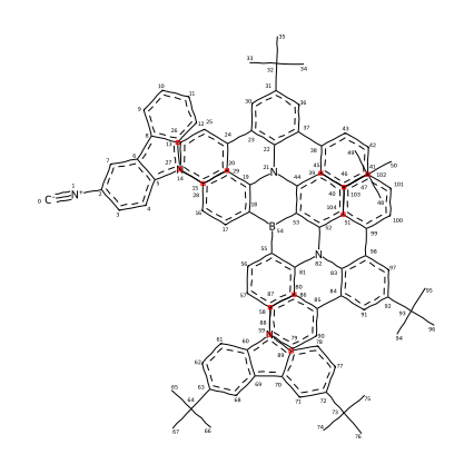 [C-]#[N+]c1ccc2c(c1)c1ccccc1n2-c1ccc2c(c1)N(c1c(-c3ccccc3)cc(C(C)(C)C)cc1-c1ccccc1)c1cc(C(C)(C)C)cc3c1B2c1ccc(-n2c4ccc(C(C)(C)C)cc4c4cc(C(C)(C)C)ccc42)cc1N3c1c(-c2ccccc2)cc(C(C)(C)C)cc1-c1ccccc1